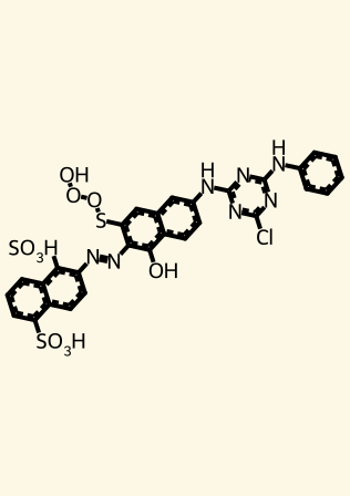 O=S(=O)(O)c1cccc2c(S(=O)(=O)O)c(N=Nc3c(SOOO)cc4cc(Nc5nc(Cl)nc(Nc6ccccc6)n5)ccc4c3O)ccc12